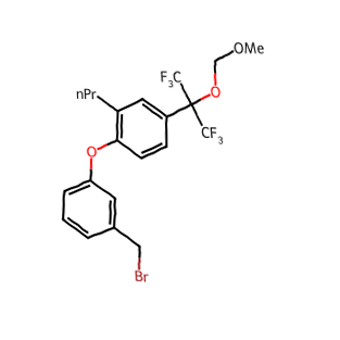 CCCc1cc(C(OCOC)(C(F)(F)F)C(F)(F)F)ccc1Oc1cccc(CBr)c1